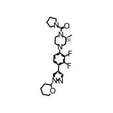 C[C@H]1CN(c2ccc(-c3cnn(C4CCCCO4)c3)c(F)c2F)CCN1C(=O)N1CCCC1